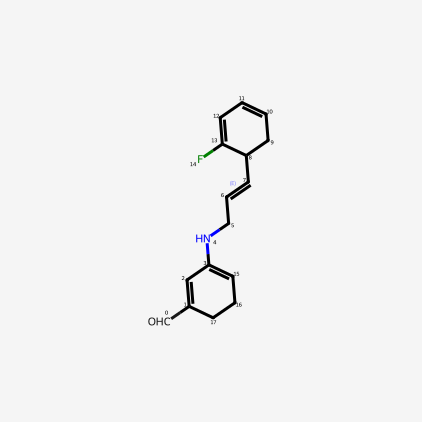 O=CC1=CC(NC/C=C/C2CC=CC=C2F)=CCC1